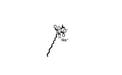 CCCCCCCCCCCCN(N[C@@H](CC(C)C)C(=O)[O-])C(=O)C=O.[Na+]